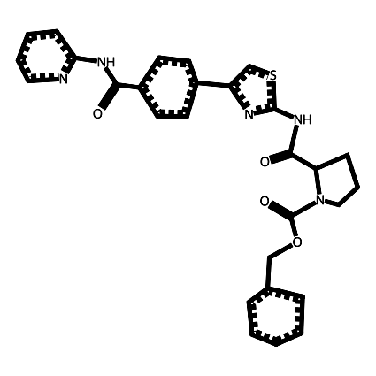 O=C(Nc1ccccn1)c1ccc(-c2csc(NC(=O)C3CCCN3C(=O)OCc3ccccc3)n2)cc1